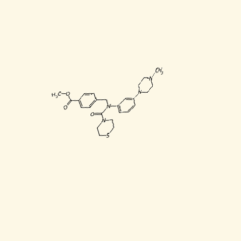 COC(=O)c1ccc(CN(C(=O)N2CCSCC2)c2cccc(N3CCN(C)CC3)c2)cc1